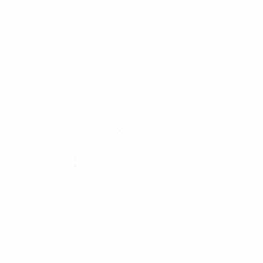 CCCCCCCCCC1[CH]O1